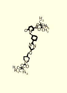 CC(C)(C)OC(=O)N1CCC(COc2cnc(-c3cccc(Cn4cc(B5OC(C)(C)C(C)(C)O5)ccc4=O)c3)nc2)CC1